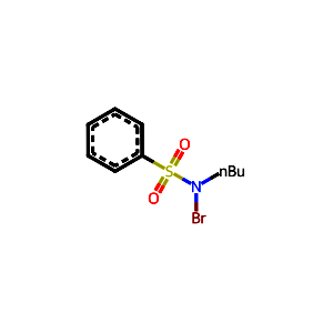 CCCCN(Br)S(=O)(=O)c1ccccc1